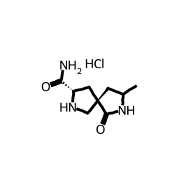 CC1C[C@]2(CN[C@H](C(N)=O)C2)C(=O)N1.Cl